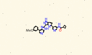 COc1cccc(-c2cncc3[nH]c(-c4n[nH]c5ccc(-c6cncc(NC(=O)C7CCC7)c6)nc45)nc23)c1